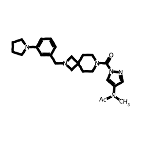 CC(=O)N(C)c1cnn(C(=O)N2CCC3(CC2)CN(Cc2cccc(N4CCCC4)c2)C3)c1